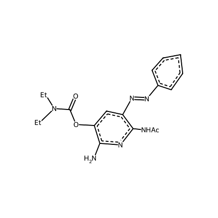 CCN(CC)C(=O)Oc1cc(/N=N/c2ccccc2)c(NC(C)=O)nc1N